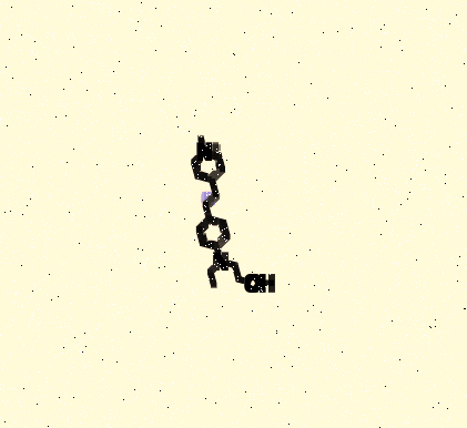 CCN(CCO)c1ccc(/C=C/c2cc[n+](C)cc2)cc1